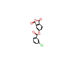 O=C(Oc1ccc2c(c1)C(=O)OC2=O)c1cccc(Cl)c1